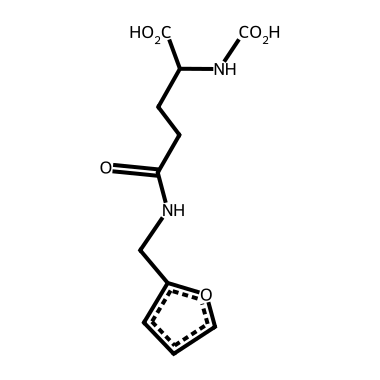 O=C(O)NC(CCC(=O)NCc1ccco1)C(=O)O